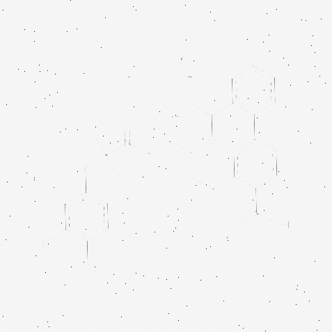 CCc1cc(-c2ccccc2C(C)OC[C@@H](O)CNC(C)(C)Cc2ccc(C)c(F)c2)ccc1C(=O)O